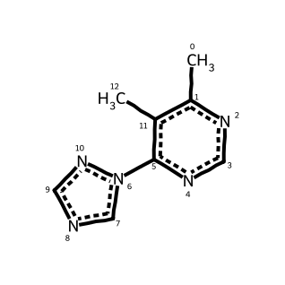 Cc1ncnc(-n2cncn2)c1C